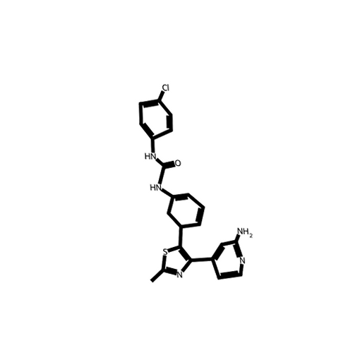 Cc1nc(-c2ccnc(N)c2)c(C2C=CC=C(NC(=O)Nc3ccc(Cl)cc3)C2)s1